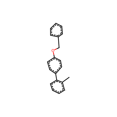 Cc1[c]cccc1-c1ccc(OCc2ccccc2)cc1